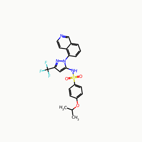 CC(C)Oc1ccc(S(=O)(=O)Nc2cc(C(F)(F)F)nn2-c2cccc3cnccc23)cc1